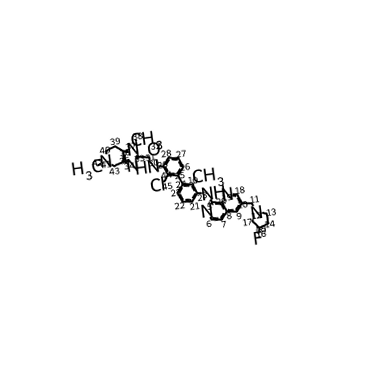 Cc1c(Nc2nccc3cc(CN4CC[C@@H](F)C4)cnc23)cccc1-c1cccc(NC(=O)c2nc3c(n2C)CCN(C)C3)c1Cl